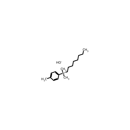 CCCCCCCC[N+](C)(C)c1ccc(C)cc1.[OH-]